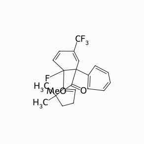 COC(=O)C1(c2ccccc2)C=C(C(F)(F)F)C=CC1(F)C1=CCCC1(C)C